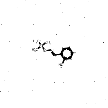 C[Si](C)(C)ON=Cc1ccccc1C#N